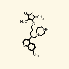 CC1=C(OCCCC(CN2CCCNCC2)c2ccnc3cc(C(F)(F)F)ccc23)C(C)SC1=O